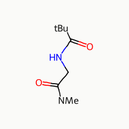 CNC(=O)CNC(=O)C(C)(C)C